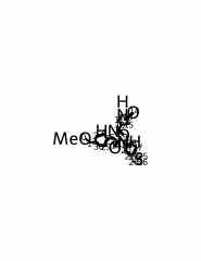 COCc1ccc(C(NC(=O)C2CNC(=O)C2)C(=O)Nc2ccc(S(C)(C)C)cc2)cc1